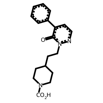 O=C(O)N1CCC(CCn2nccc(-c3ccccc3)c2=O)CC1